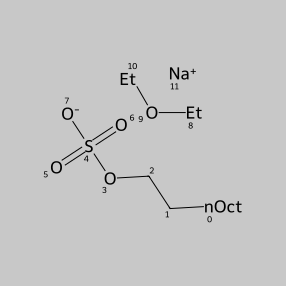 CCCCCCCCCCOS(=O)(=O)[O-].CCOCC.[Na+]